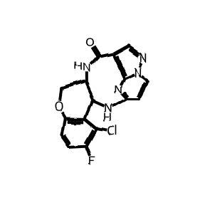 O=C1NC2COc3ccc(F)c(Cl)c3C2Nc2ccn3ncc1c3n2